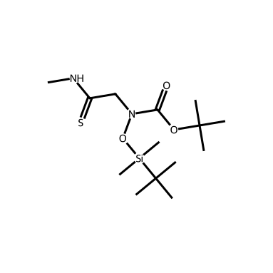 CNC(=S)CN(O[Si](C)(C)C(C)(C)C)C(=O)OC(C)(C)C